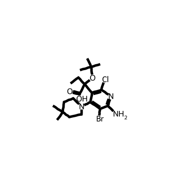 CCC(OC(C)(C)C)(C(=O)O)c1c(Cl)nc(N)c(Br)c1N1CCC(C)(C)CC1